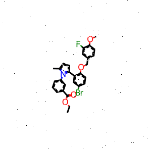 CCOC(=O)c1cccc(-n2c(C)ccc2-c2cc(Br)ccc2OCc2ccc(OC)c(F)c2)c1